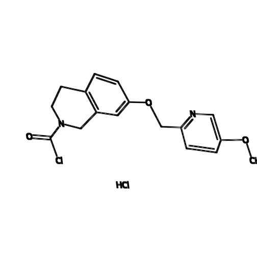 COc1ccc(COc2ccc3c(c2)CN(C(=O)Cl)CC3)nc1.Cl